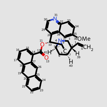 C=C[C@H]1CN2CC[C@H]1C[C@H]2[C@H](OC(=O)c1cccc2cc3ccccc3cc12)c1ccnc2ccc(OC)cc12